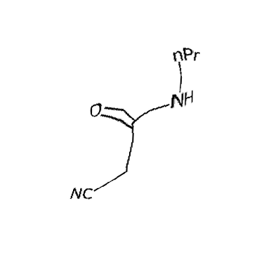 [CH2]CCNC(=O)CC#N